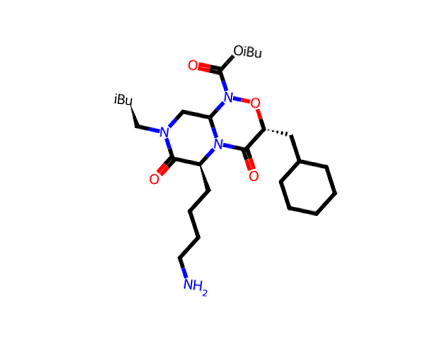 CC[C@H](C)CN1CC2N(C(=O)OCC(C)C)O[C@H](CC3CCCCC3)C(=O)N2[C@@H](CCCCN)C1=O